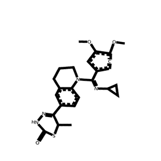 COc1ccc(C(=NC2CC2)N2CCCc3cc(C4=NNC(=O)SC4C)ccc32)cc1OC